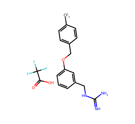 N=C(N)NCc1cccc(OCc2ccc(C(F)(F)F)cc2)c1.O=C(O)C(F)(F)F